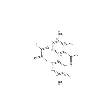 CC(=O)C(C)=O.CC(=O)c1c(-c2ccc(N)c(C)c2)ccc(N)c1C